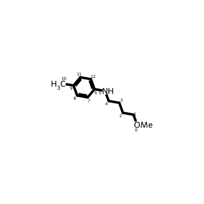 COCCCCNc1ccc(C)cc1